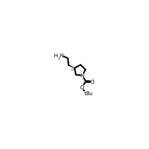 CC(C)(C)OC(=O)N1CC[C@H](CCN)C1